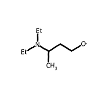 CCN(CC)C(C)CC[O]